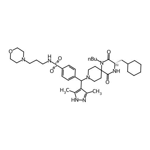 CCCCN1C(=O)[C@H](CC2CCCCC2)NC(=O)C12CCN(C(c1ccc(S(=O)(=O)NCCCN3CCOCC3)cc1)c1c(C)n[nH]c1C)CC2